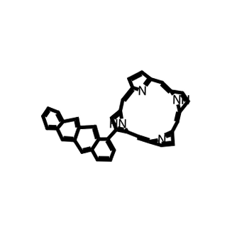 C1=Cc2cc3cc(-c4cccc5cc6cc7ccccc7cc6cc45)c(cc4nc(cc5ccc(cc1n2)[nH]5)C=C4)[nH]3